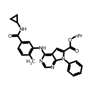 CCCOC(=O)c1cc2c(Nc3cc(C(=O)NC4CC4)ccc3C)ncnc2n1-c1ccccc1